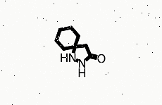 O=C1CC2(CCCCC2)NN1